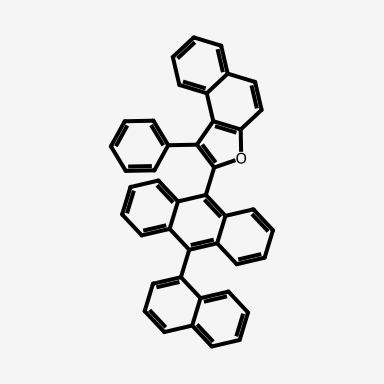 c1ccc(-c2c(-c3c4ccccc4c(-c4cccc5ccccc45)c4ccccc34)oc3ccc4ccccc4c23)cc1